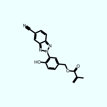 C=C(C)C(=O)OCc1ccc(O)c(-n2nc3ccc(C#N)cc3n2)c1